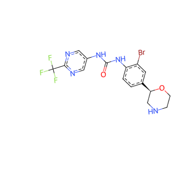 O=C(Nc1cnc(C(F)(F)F)nc1)Nc1ccc([C@@H]2CNCCO2)cc1Br